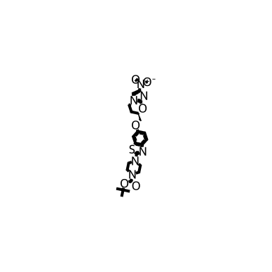 CC(C)(C)OC(=O)N1CCN(c2nc3ccc(OC[C@H]4CCn5cc([N+](=O)[O-])nc5O4)cc3s2)CC1